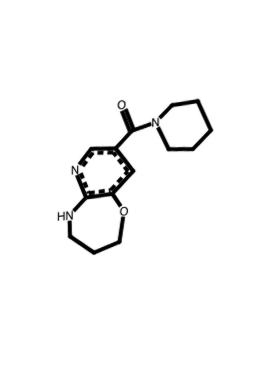 O=C(c1cnc2c(c1)OCCCN2)N1CCCCC1